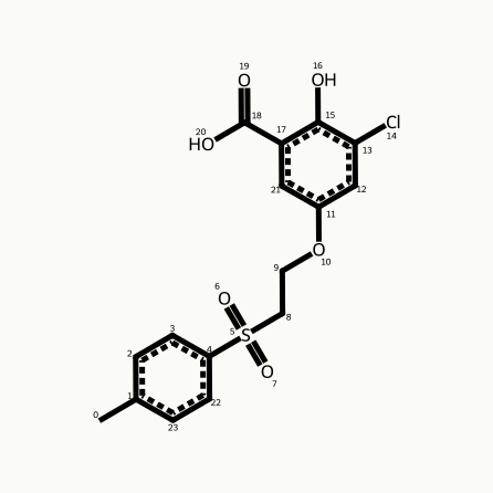 Cc1ccc(S(=O)(=O)CCOc2cc(Cl)c(O)c(C(=O)O)c2)cc1